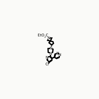 CCOC(=O)N1CC2(CC[C@@H](N3CCN(c4ncc(Cl)cc4-c4ccnnc4)CC3)C2)C1